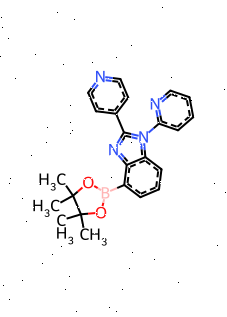 CC1(C)OB(c2cccc3c2nc(-c2ccncc2)n3-c2ccccn2)OC1(C)C